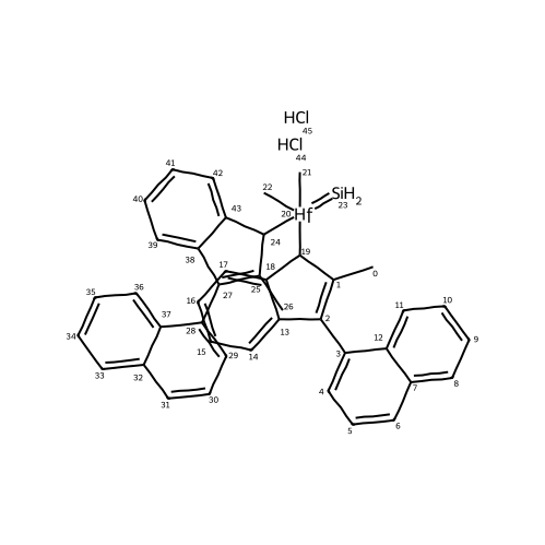 CC1=C(c2cccc3ccccc23)c2ccccc2[CH]1[Hf]([CH3])([CH3])(=[SiH2])[CH]1C(C)=C(c2cccc3ccccc23)c2ccccc21.Cl.Cl